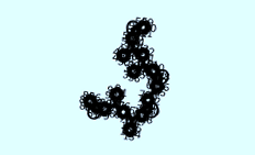 c1ccc(N(c2ccc(N(c3ccccc3)c3ccc4oc5cc(-c6ccc7oc8ccc(N(c9ccccc9)c9cccc(N(c%10ccccc%10)c%10ccc%11oc%12ccccc%12c%11c%10)c9)cc8c7c6)ccc5c4c3)cc2)c2ccc3oc4ccccc4c3c2)cc1